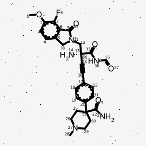 COc1ccc2c(c1F)C(=O)N(C[C@](N)(C#Cc1ccc(C3(C(N)=O)CCN(C)CC3)cc1)C(=O)NC=O)C2